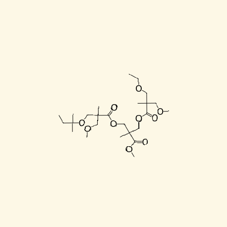 CCOCC(C)(COC)C(=O)OCC(C)(COC(=O)C(C)(COC)COC(C)(C)CC)C(=O)OC